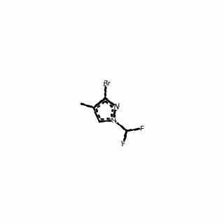 Cc1cn(C(F)F)nc1Br